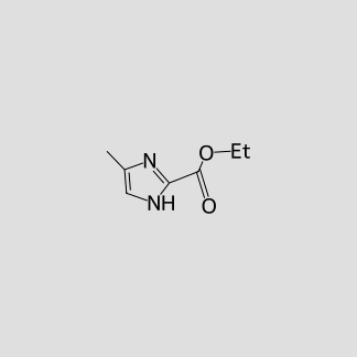 CCOC(=O)c1nc(C)c[nH]1